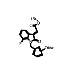 COc1cccc(CN2C(=O)/C(=C/C(=O)OC(C)(C)C)c3cccc(F)c32)c1